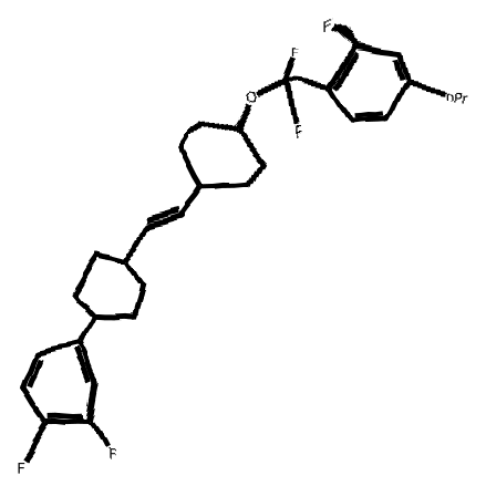 CCCc1ccc(C(F)(F)OC2CCC(/C=C/C3CCC(c4ccc(F)c(F)c4)CC3)CC2)c(F)c1